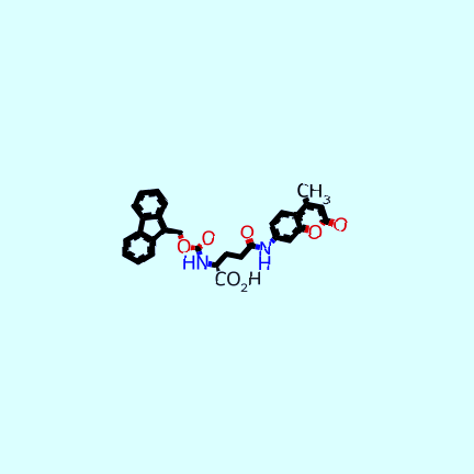 Cc1cc(=O)oc2cc(NC(=O)CC[C@H](NC(=O)OCC3c4ccccc4-c4ccccc43)C(=O)O)ccc12